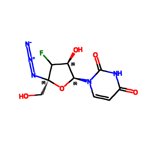 [N-]=[N+]=N[C@]1(CO)O[C@H](n2ccc(=O)[nH]c2=O)[C@H](O)C1F